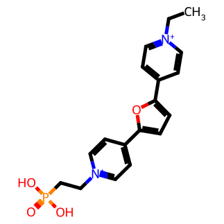 CC[n+]1ccc(-c2ccc(-c3cc[n+](CCP(=O)(O)O)cc3)o2)cc1